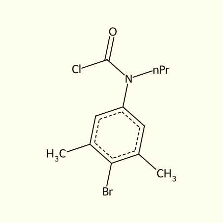 CCCN(C(=O)Cl)c1cc(C)c(Br)c(C)c1